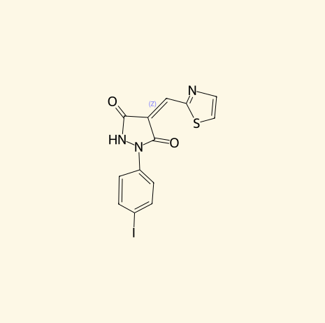 O=C1NN(c2ccc(I)cc2)C(=O)/C1=C\c1nccs1